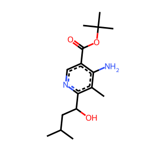 Cc1c(C(O)CC(C)C)ncc(C(=O)OC(C)(C)C)c1N